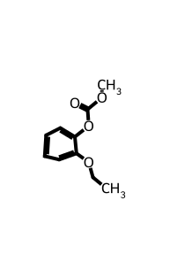 CCOc1ccccc1OC(=O)OC